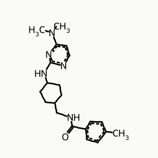 Cc1ccc(C(=O)NCC2CCC(Nc3nccc(N(C)C)n3)CC2)cc1